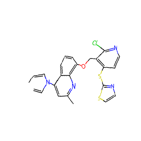 C=CN(/C=C\C)c1cc(C)nc2c(OCc3c(Sc4nccs4)ccnc3Cl)cccc12